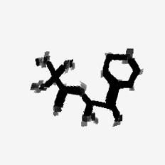 CC(OC(=O)C(C)(C)C)C(Cl)=C1CCNCC1